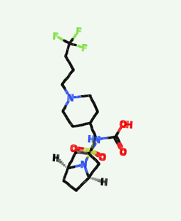 O=C(O)N[C@H]1C[C@H]2CC[C@@H](C1)N2S(=O)(=O)CC1CCN(CCCC(F)(F)F)CC1